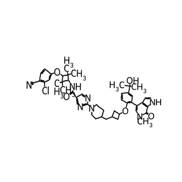 Cn1cc(-c2cc(C(C)(C)O)ccc2OC2CC(CC3CCN(c4ncc(C(=O)NC5C(C)(C)C(Oc6ccc(C#N)c(Cl)c6)C5(C)C)cn4)CC3)C2)c2cc[nH]c2c1=O